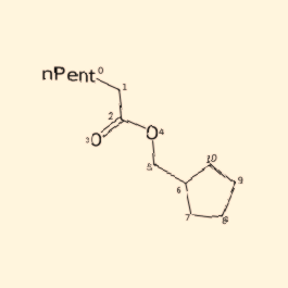 [CH2]CCCCCC(=O)OCC1CCCC1